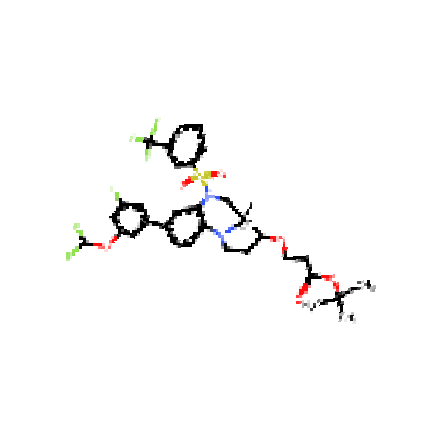 CC(C)(C)OC(=O)CCOC1CCN2c3ccc(-c4cc(F)cc(OC(F)F)c4)cc3N(S(=O)(=O)c3cccc(C(F)(F)F)c3)C[C@@H]2C1